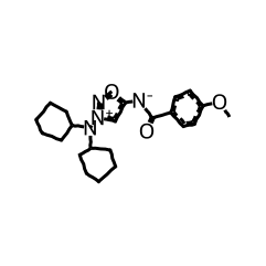 COc1ccc(C(=O)[N-]c2c[n+](N(C3CCCCC3)C3CCCCC3)no2)cc1